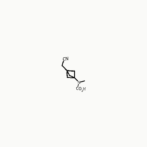 CN(C(=O)O)C12CC(CC#N)(C1)C2